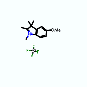 COc1ccc2c(c1)C(C)(C)C(C)=[N+]2C.F[B-](F)(F)F